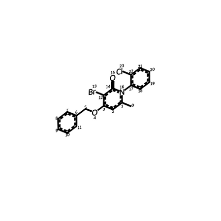 Cc1cc(OCc2ccccc2)c(Br)c(=O)n1-c1ccccc1Cl